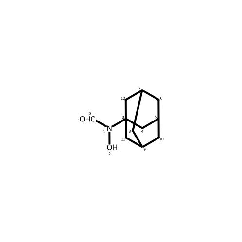 O=[C]N(O)C12CC3CC(CC(C3)C1)C2